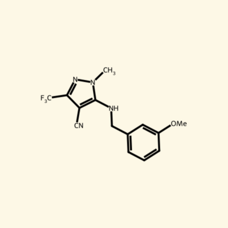 COc1cccc(CNc2c(C#N)c(C(F)(F)F)nn2C)c1